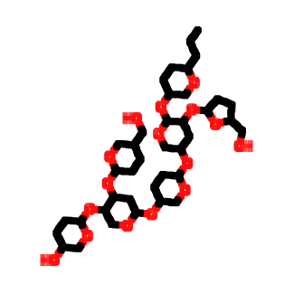 CCCC1CCC(OC2OCC(OC3CCC(OC4CC(OC5CCC(CO)CO5)C(OC5CCC(O)CO5)CO4)CO3)CC2OC2CCC(CO)O2)CO1